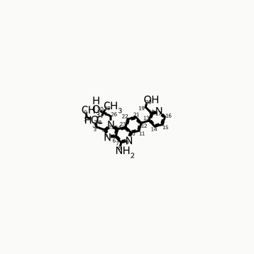 CCOCc1nc2c(N)nc3cc(-c4cccnc4CO)ccc3c2n1CC(C)(C)O